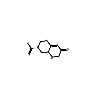 C=C(C)[C@@H]1CCC2=CC(=O)CCC2C1